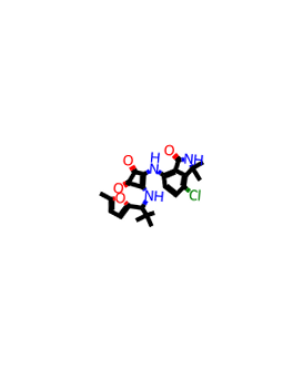 Cc1ccc(C(Nc2c(Nc3ccc(Cl)c4c3C(=O)NC4(C)C)c(=O)c2=O)C(C)(C)C)o1